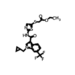 CCOC(=O)CSc1cnc(NC(=O)c2cn(CC3CC3)c3cc(C(F)(F)F)ccc23)s1